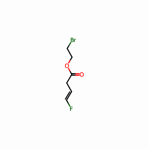 O=C(CC=CF)OCCBr